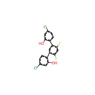 Oc1cc(Cl)ccc1-c1cc(-c2ccc(Cl)cc2O)c(F)cc1F